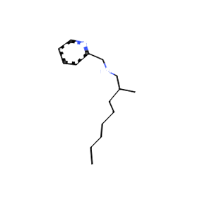 CCCCCCC(C)CNCc1ccccn1